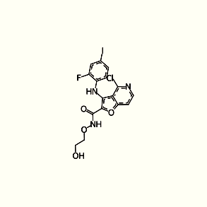 O=C(NOCCO)c1oc2ccnc(Cl)c2c1Nc1ccc(I)cc1F